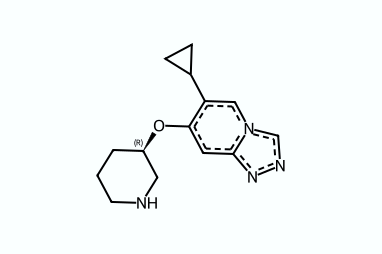 c1c(O[C@@H]2CCCNC2)c(C2CC2)cn2cnnc12